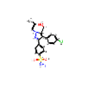 CC=Cn1nc(-c2ccc(S(N)(=O)=O)cc2)c(-c2ccc(Cl)cc2)c1CO